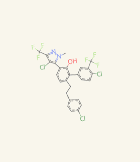 Cn1nc(C(F)(F)F)c(Cl)c1-c1ccc(CCc2ccc(Cl)cc2)c(-c2ccc(Cl)c(C(F)(F)F)c2)c1O